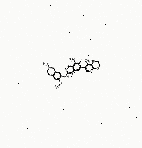 COc1cc2c(cc1Nc1ncc3c(N)c(F)c(-c4cnc5c(c4C)NCCO5)cc3n1)CN(C)CC2